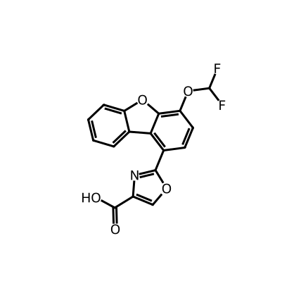 O=C(O)c1coc(-c2ccc(OC(F)F)c3oc4ccccc4c23)n1